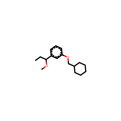 CCC(OC)c1cccc(OCC2CCCCC2)c1